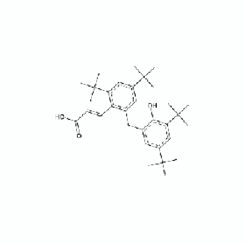 CC(C)(C)c1cc(Cc2cc(C(C)(C)C)cc(C(C)(C)C)c2C=CC(=O)O)c(O)c(C(C)(C)C)c1